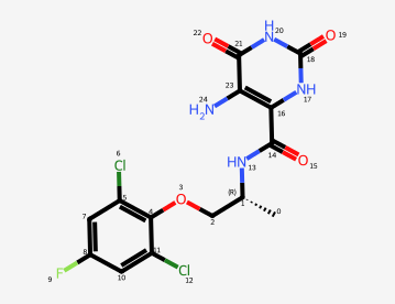 C[C@H](COc1c(Cl)cc(F)cc1Cl)NC(=O)c1[nH]c(=O)[nH]c(=O)c1N